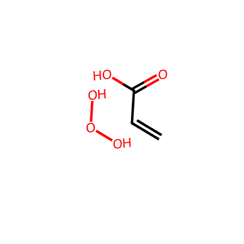 C=CC(=O)O.OOO